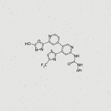 CCCNC(=O)Nc1cc(-c2nc(C(F)(F)F)cs2)c(-c2ccnc(-c3nnc(O)o3)c2)cn1